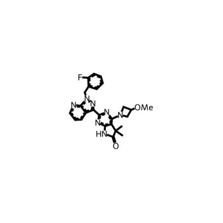 COC1CN(c2nc(-c3nn(Cc4ccccc4F)c4ncccc34)nc3c2C(C)(C)C(=O)N3)C1